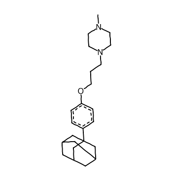 CN1CCN(CCCOc2ccc(C34CC5CC(CC(C5)C3)C4)cc2)CC1